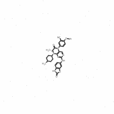 CC1CCC(N2c3nc(Nc4ccc5[nH]c(=O)oc5c4)ncc3N(c3ccc(OC(C)C)c(C#N)c3)C(=O)[C@H]2C)CC1